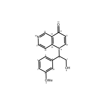 COc1cccc(C(CO)n2ccc(=O)c3cnccc32)c1